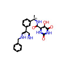 C[C@@H](NC(=O)c1[nH]c(=O)[nH]c(=O)c1O)c1cccc(/C(C=N)=C/NCc2ccccc2)c1